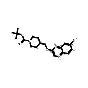 CC(C)(C)OC(=O)N1CCC(COc2cnc3ccc(Br)cc3n2)CC1